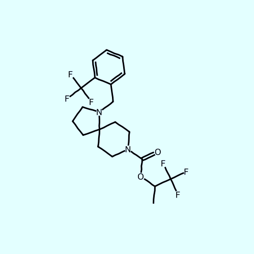 CC(OC(=O)N1CCC2(CCCN2Cc2ccccc2C(F)(F)F)CC1)C(F)(F)F